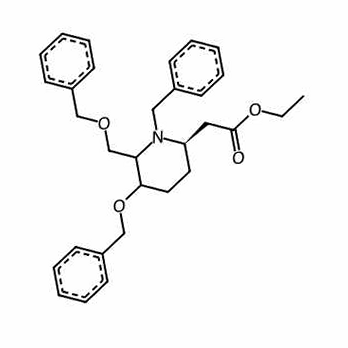 CCOC(=O)C[C@H]1CCC(OCc2ccccc2)C(COCc2ccccc2)N1Cc1ccccc1